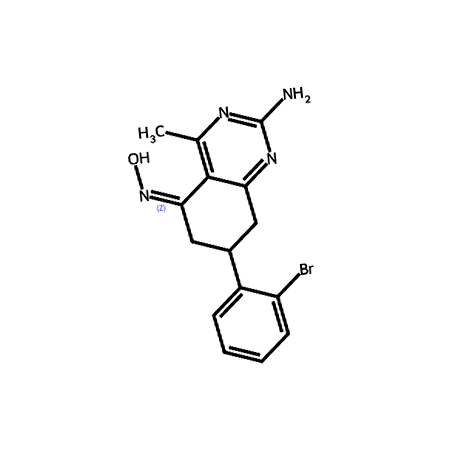 Cc1nc(N)nc2c1/C(=N\O)CC(c1ccccc1Br)C2